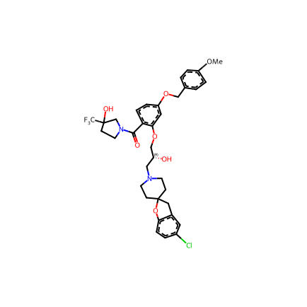 COc1ccc(COc2ccc(C(=O)N3CCC(O)(C(F)(F)F)C3)c(OC[C@H](O)CN3CCC4(CC3)Cc3cc(Cl)ccc3O4)c2)cc1